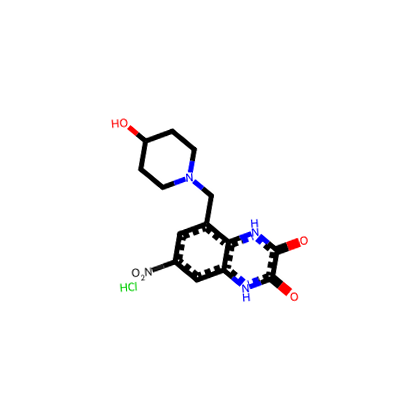 Cl.O=c1[nH]c2cc([N+](=O)[O-])cc(CN3CCC(O)CC3)c2[nH]c1=O